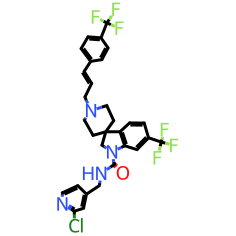 O=C(NCc1ccnc(Cl)c1)N1CC2(CCN(CC=Cc3ccc(C(F)(F)F)cc3)CC2)c2ccc(C(F)(F)F)cc21